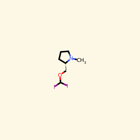 CN1CCC[C@H]1COC(I)I